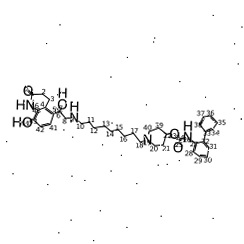 O=C1CCc2c([C@H](O)CNCCCCCCCCCN3CCC(OC(=O)Nc4ccccc4-c4ccccc4)CC3)ccc(O)c2N1